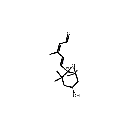 CC(=C/C=O)/C=C/[C@@]12O[C@]1(C)C[C@@H](O)CC2(C)C